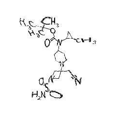 C[C@@H]1CC1N(C(=O)OC(C)(C)C)C1CCN(C2(CC#N)CN(S(N)(=O)=O)C2)CC1